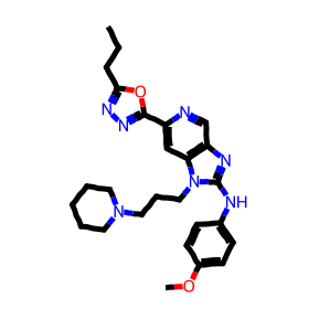 CCCc1nnc(-c2cc3c(cn2)nc(Nc2ccc(OC)cc2)n3CCCN2CCCCC2)o1